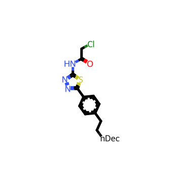 CCCCCCCCCCCCc1ccc(-c2nnc(NC(=O)CCl)s2)cc1